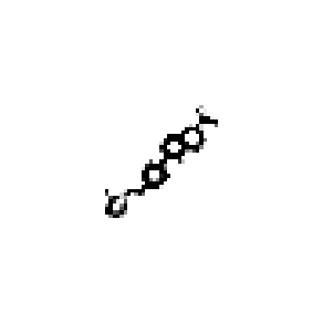 CC(=O)N1CCc2c(ccc(-c3ccc(CCN4CCC[C@H]4C)cc3)c2F)C1